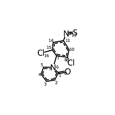 O=c1ccccn1-c1c(Cl)cc(N=S)cc1Cl